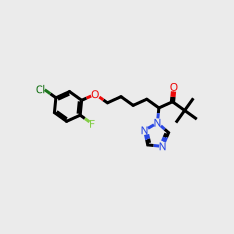 CC(C)(C)C(=O)C(CCCCOc1cc(Cl)ccc1F)n1cncn1